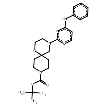 CC(C)(C)OC(=O)N1CCC2(CC1)CN(c1nccc(Nc3ccccc3)n1)CCO2